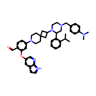 CC(C)c1ccccc1C1CN(Cc2ccc(N(C)C)cc2)CCN1C1CC2(CCN(c3ccc(C=O)c(Oc4cnc5[nH]ccc5c4)c3)CC2)C1